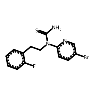 NC(=S)N(CCc1ccccc1F)c1ccc(Br)cn1